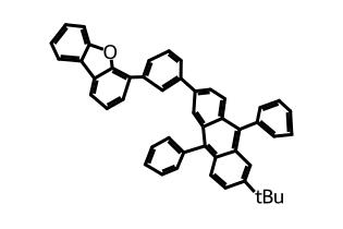 CC(C)(C)c1ccc2c(-c3ccccc3)c3cc(-c4cccc(-c5cccc6c5oc5ccccc56)c4)ccc3c(-c3ccccc3)c2c1